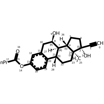 C#C[C@]1(O)CC[C@H]2[C@@H]3[C@H](O)Cc4cc(OC(=O)CCC)ccc4[C@H]3CC[C@@]21C